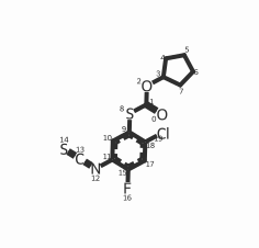 O=C(OC1CCCC1)Sc1cc(N=C=S)c(F)cc1Cl